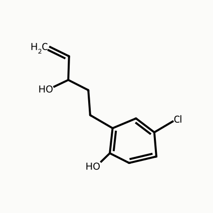 C=CC(O)CCc1cc(Cl)ccc1O